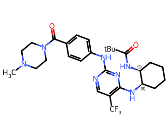 CN1CCN(C(=O)c2ccc(Nc3ncc(C(F)(F)F)c(N[C@@H]4CCCC[C@@H]4NC(=O)C(C)(C)C)n3)cc2)CC1